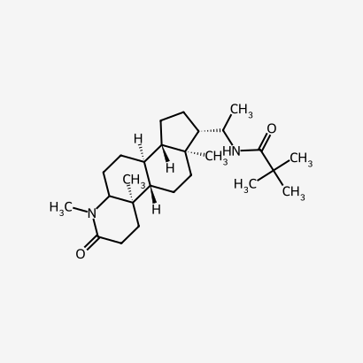 CC(NC(=O)C(C)(C)C)[C@H]1CC[C@H]2[C@@H]3CCC4N(C)C(=O)CC[C@]4(C)[C@H]3CC[C@]12C